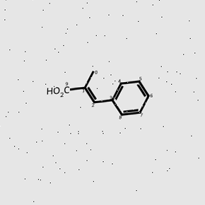 CC(=Cc1cc[c]cc1)C(=O)O